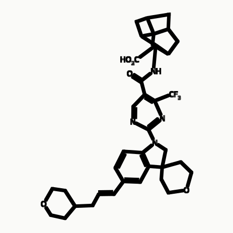 O=C(NC1(C(=O)O)C2CC3CC4CC1C34C2)c1cnc(N2CC3(CCOCC3)c3cc(/C=C/CC4CCOCC4)ccc32)nc1C(F)(F)F